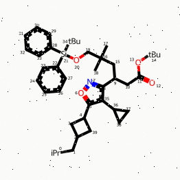 CC(C)CC1CC(c2onc(C(CC(=O)OC(C)(C)C)CC(C)(C)CO[Si](c3ccccc3)(c3ccccc3)C(C)(C)C)c2C2CC2)C1